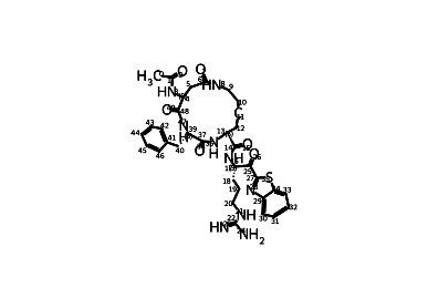 CC(=O)N[C@H]1CC(=O)NCCCC[C@@H](C(=O)N[C@@H](CCCNC(=N)N)C(=O)c2nc3ccccc3s2)NC(=O)[C@H](Cc2ccccc2)NC1=O